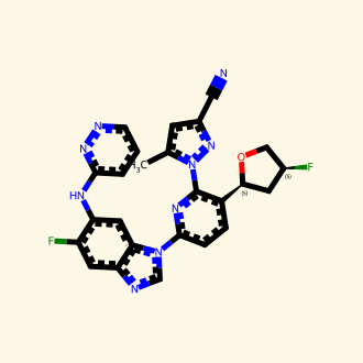 Cc1cc(C#N)nn1-c1nc(-n2cnc3cc(F)c(Nc4cccnn4)cc32)ccc1[C@@H]1C[C@H](F)CO1